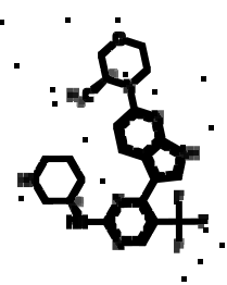 C[C@H]1COCCN1c1ccc2c(-c3nc(N[C@@H]4CCCNC4)ncc3C(F)(F)F)c[nH]c2n1